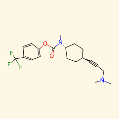 CN(C)CC#C[C@H]1CC[C@H](N(C)C(=O)Oc2ccc(C(F)(F)F)cc2)CC1